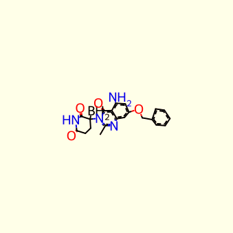 BC1(n2c(C)nc3cc(OCc4ccccc4)cc(N)c3c2=O)CCC(=O)NC1=O